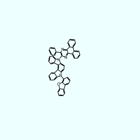 c1ccc(-c2nc3c4ccccc4c4ccccc4c3nc2-n2c3ccccc3c3c4c5ccccc5n(-c5cccc6c5oc5ccccc56)c4ccc32)cc1